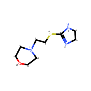 C1CNC(SCCN2CCOCC2)=N1